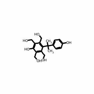 CC(C)(c1ccc(O)cc1)c1c(CO)c(CO)c(O)c(CO)c1CO